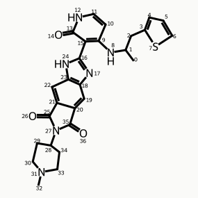 CC(Cc1cccs1)Nc1cc[nH]c(=O)c1-c1nc2cc3c(cc2[nH]1)C(=O)N(C1CCN(C)CC1)C3=O